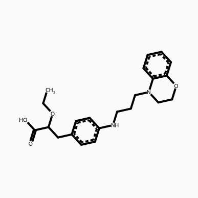 CCOC(Cc1ccc(NCCCN2CCOc3ccccc32)cc1)C(=O)O